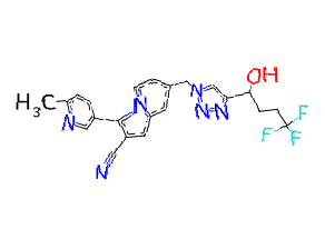 Cc1ccc(-c2c(C#N)cc3cc(Cn4cc(C(O)CCC(F)(F)F)nn4)ccn23)cn1